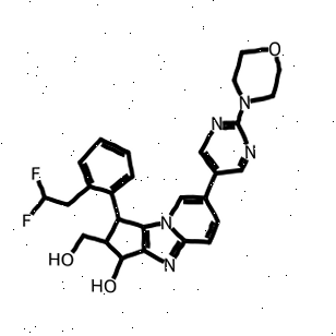 OCC1C(O)c2nc3ccc(-c4cnc(N5CCOCC5)nc4)cn3c2C1c1ccccc1CC(F)F